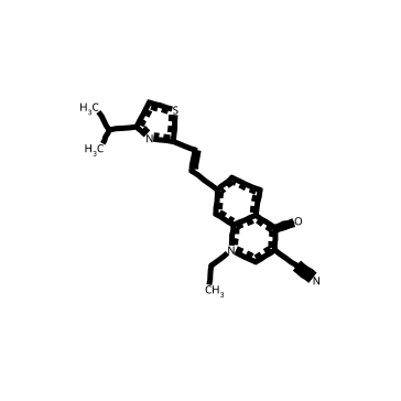 CCn1cc(C#N)c(=O)c2ccc(C=Cc3nc(C(C)C)cs3)cc21